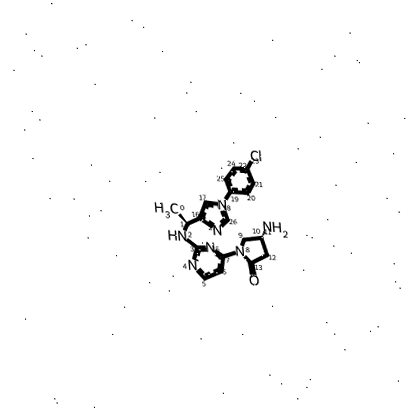 C[C@H](Nc1nccc(N2C[C@H](N)CC2=O)n1)c1cn(-c2ccc(Cl)cc2)cn1